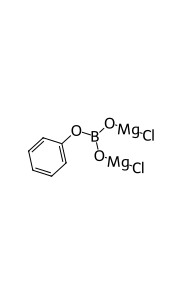 [Cl][Mg][O]B([O][Mg][Cl])Oc1ccccc1